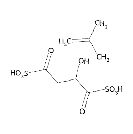 C=C(C)C.O=C(CC(O)C(=O)S(=O)(=O)O)S(=O)(=O)O